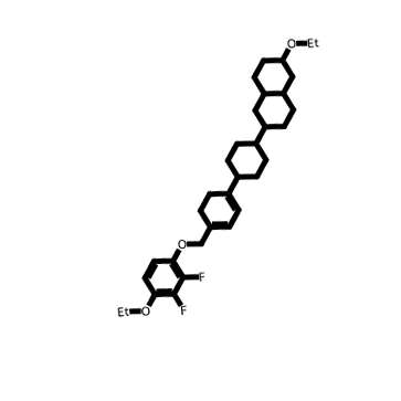 CCOc1ccc(OCC2=CC=C(C3CCC(C4CCC5CC(OCC)CCC5C4)CC3)CC2)c(F)c1F